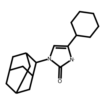 O=C1[N]C(C2CCCCC2)=CN1C1C2CC3CC(C2)CC1C3